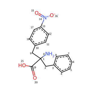 NC(Cc1ccccc1)(Cc1ccc([N+](=O)[O-])cc1)C(=O)O